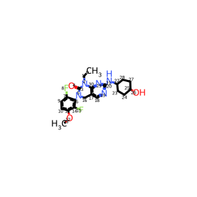 CCN1C(=O)N(c2c(F)ccc(OC)c2F)Cc2cnc(NC3CCC(O)CC3)nc21